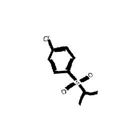 C[C](C)S(=O)(=O)c1ccc(Cl)cc1